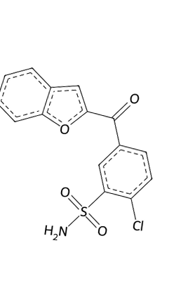 NS(=O)(=O)c1cc(C(=O)c2cc3ccccc3o2)ccc1Cl